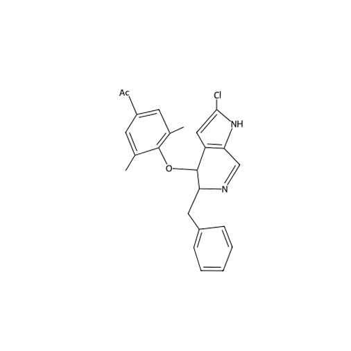 CC(=O)c1cc(C)c(OC2c3cc(Cl)[nH]c3C=NC2Cc2ccccc2)c(C)c1